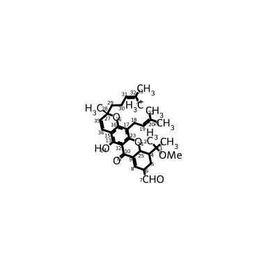 COC(C)(C)C1CC(C=O)C=C2C(=O)c3c(O)c4c(c(CC=C(C)C)c3OC21)O[C@@](C)(CCC=C(C)C)C=C4